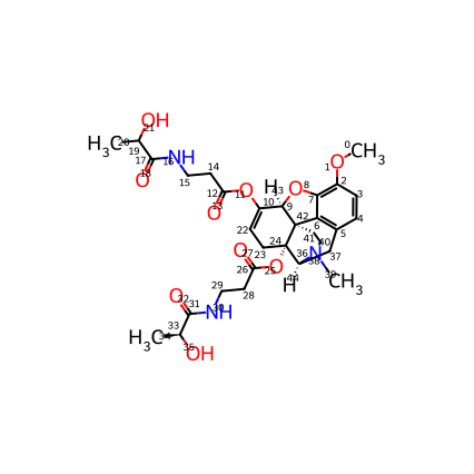 COc1ccc2c3c1O[C@@H]1C(OC(=O)CCNC(=O)C(C)O)=CC[C@]4(OC(=O)CCNC(=O)[C@H](C)O)[C@H](C2)N(C)CC[C@@]314